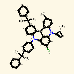 C[C@@H]1CC=C1N1c2ccc(C(C)(C)C)cc2B2c3cc(C(C)(C)c4ccccc4)ccc3N(c3ccc(C(C)(C)c4ccccc4)cc3)c3cc(Cl)cc1c32